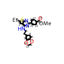 CCc1cc2c(NCCc3ccc4c(c3)OCCO4)nc(-c3ccc(C(=O)OC)cc3)nc2s1